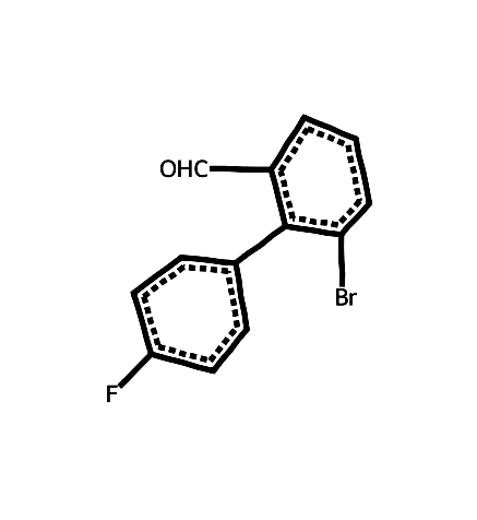 O=Cc1cccc(Br)c1-c1ccc(F)cc1